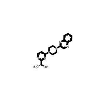 C[C@@H](O)c1nccc(N2CCN(c3cnc4ccccc4n3)CC2)n1